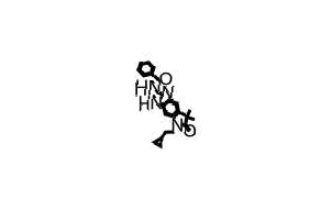 CC1(C)C(=O)N(CCC2CC2)c2cc3[nH]c(NC(=O)c4ccccc4)nc3cc21